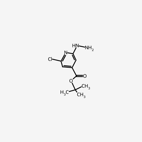 CC(C)(C)OC(=O)c1cc(Cl)nc(NN)c1